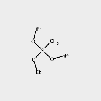 CCO[Si](C)(OC(C)C)OC(C)C